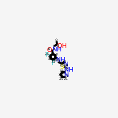 CC(O)CNC(=O)c1cc(NCc2cnc(Nc3ccccn3)s2)c(F)cc1F